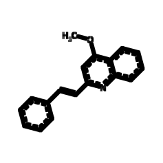 COc1cc(C=Cc2ccccc2)nc2ccccc12